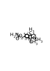 CN1CCC2(C)c3ccc(COC(N)=O)cc3N(C)C12